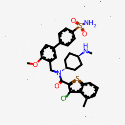 CN[C@H]1CC[C@H](N(Cc2cc(-c3ccc(S(N)(=O)=O)cc3)ccc2OC)C(=O)c2sc3cccc(C)c3c2Cl)CC1